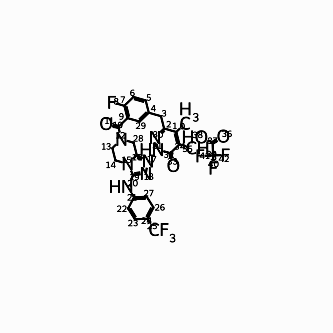 Cc1c(Cc2ccc(F)c(C(=O)N3CCn4c(nnc4Nc4ccc(C(F)(F)F)cc4)C3)c2)n[nH]c(=O)c1C.O=C(O)C(F)(F)F